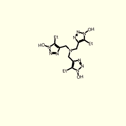 CCc1c(CN(Cc2nnn(O)c2CC)Cc2nnn(O)c2CC)nnn1O